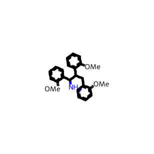 COc1ccccc1CC(c1ccccc1OC)C(N)c1ccccc1OC